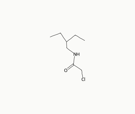 CCC(CC)CNC(=O)CCl